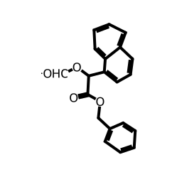 O=[C]OC(C(=O)OCc1ccccc1)c1cccc2ccccc12